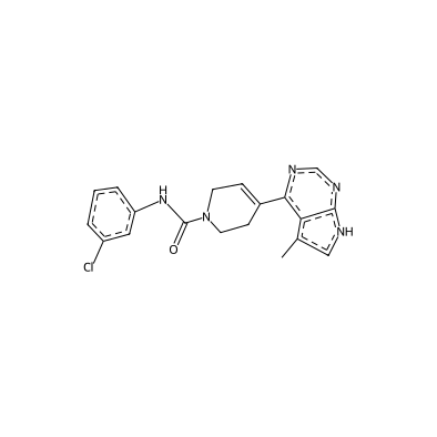 Cc1c[nH]c2ncnc(C3=CCN(C(=O)Nc4cccc(Cl)c4)CC3)c12